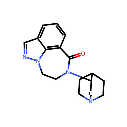 O=C1c2cccc3cnn(c23)CCN1C1CN2CCC1CC2